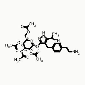 CC(=O)OC[C@H]1O[C@@H](Oc2n[nH]c(C(C)C)c2Cc2ccc(CCN)cc2)[C@H](OC(C)=O)[C@@H](OC(C)=O)[C@@H]1OC(C)=O